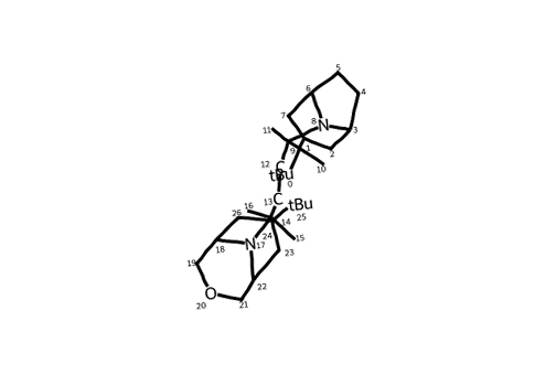 CC(C)(C)C1CC2CCC(C1)N2C(C)(C)CCC(C)(C)N1C2COCC1CC(C(C)(C)C)C2